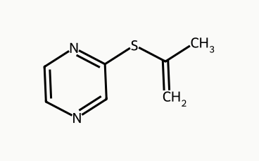 C=C(C)Sc1cnccn1